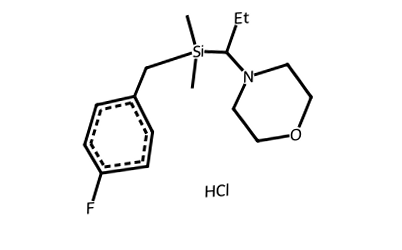 CCC(N1CCOCC1)[Si](C)(C)Cc1ccc(F)cc1.Cl